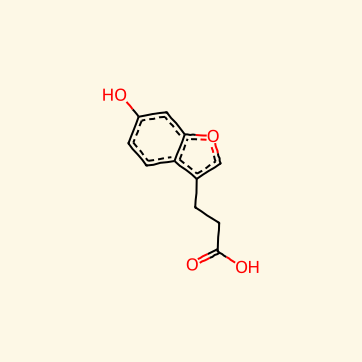 O=C(O)CCc1coc2cc(O)ccc12